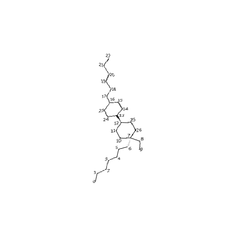 CCCCCCC[C@]1(CC)CC[C@@H](C2CCC(CCCCCC)CC2)CC1